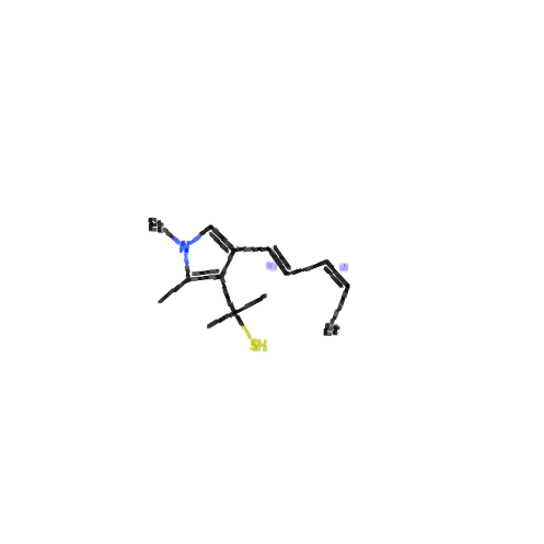 CC/C=C\C=C\c1cn(CC)c(C)c1C(C)(C)S